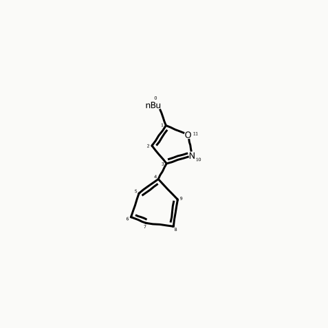 CCCCc1cc(-c2ccccc2)no1